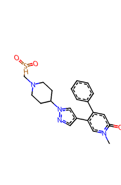 Cn1cc(-c2cnn(C3CCN(C[SH](=O)=O)CC3)c2)c(-c2ccccc2)cc1=O